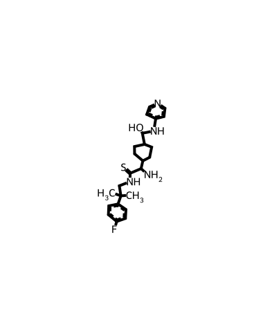 CC(C)(CNC(=S)C(N)C1CCC(C(O)Nc2ccncc2)CC1)c1ccc(F)cc1